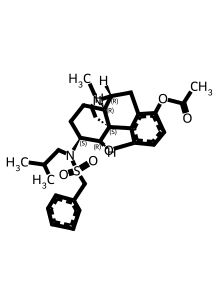 CC(=O)Oc1ccc2c3c1C[C@@H]1[C@@H]4CC[C@H](N(CC(C)C)S(=O)(=O)Cc5ccccc5)[C@H](O2)[C@]34CCN1C